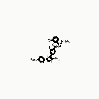 CO[C@H]1CC[C@H](c2cnc(N)c(-c3ccc(C(=O)N[C@H](CNC(C)=O)c4cccc(Cl)c4)c(F)c3)n2)CC1